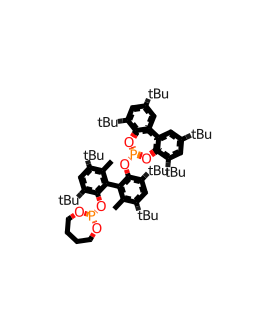 Cc1c(C(C)(C)C)cc(C(C)(C)C)c(OP2OCCCCO2)c1-c1c(C)c(C(C)(C)C)cc(C(C)(C)C)c1Op1oc2c(C(C)(C)C)cc(C(C)(C)C)cc2c2cc(C(C)(C)C)cc(C(C)(C)C)c2o1